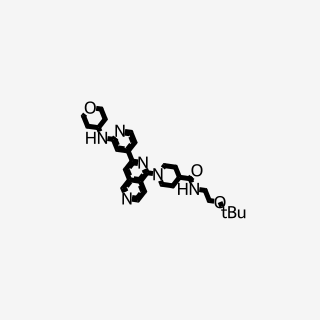 CC(C)(C)OCCNC(=O)C1CCN(c2nc(-c3ccnc(NC4CCOCC4)c3)cc3cnccc23)CC1